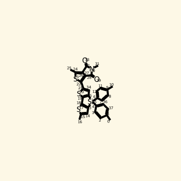 Cc1ccc([Si]2(c3ccc(C)cc3)c3cc(C)sc3-c3sc(-c4sc(C)c5c4C(=O)N(C)C5=O)cc32)cc1